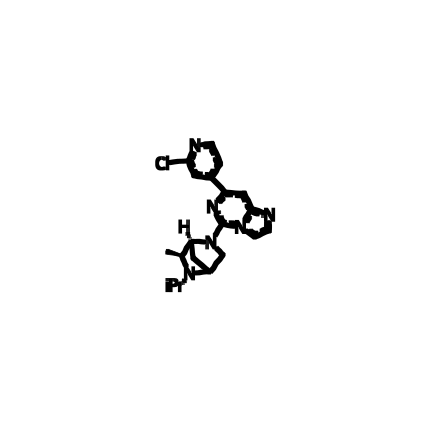 CC(C)N1C2C[C@@H]([C@@H]1C)N(c1nc(-c3ccnc(Cl)c3)cc3nccn13)C2